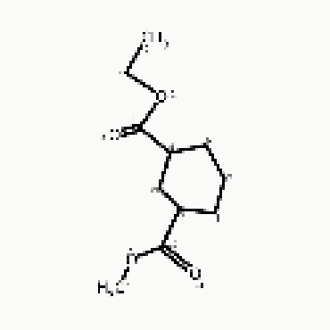 CCOC(=O)C1CCCC(C(=O)OC)C1